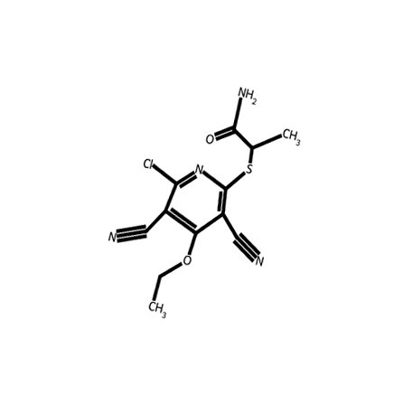 CCOc1c(C#N)c(Cl)nc(SC(C)C(N)=O)c1C#N